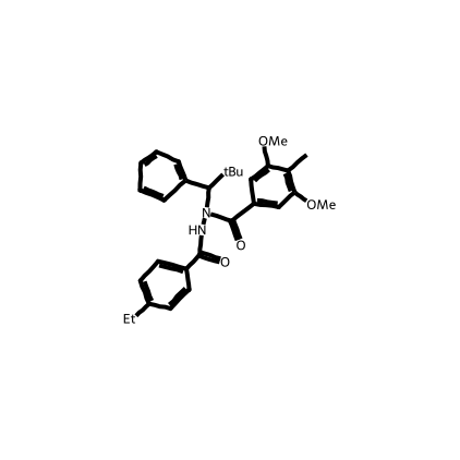 CCc1ccc(C(=O)NN(C(=O)c2cc(OC)c(C)c(OC)c2)C(c2ccccc2)C(C)(C)C)cc1